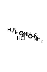 Cl.NC(=O)c1ccc(CNc2ccc([C@@H]3C[C@H]3N)cn2)cc1